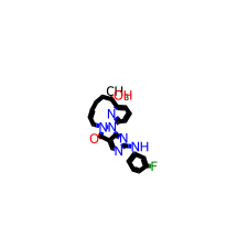 C[C@@]1(O)CC/C=C\Cn2c(=O)c3cnc(Nc4cccc(F)c4)nc3n2-c2cccc1n2